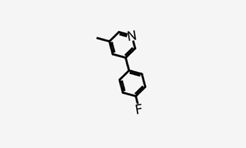 Cc1cncc(-c2ccc(F)cc2)c1